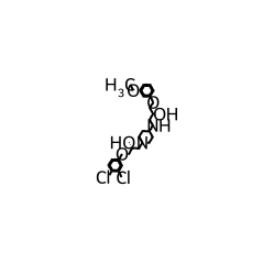 COc1cccc(OC[C@H](O)CNC2CCN(C[C@@H](O)COc3ccc(Cl)c(Cl)c3)CC2)c1